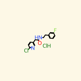 Cl.O=C(Cc1ccc(Cl)nc1)NCCc1cccc(F)c1